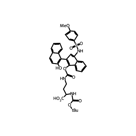 COc1ccc(S(=O)(=O)Nc2cc(-c3c(O)ccc4ccccc34)c(OC(=O)NCCC(NC(=O)OC(C)(C)C)C(=O)O)c3ccccc23)cc1